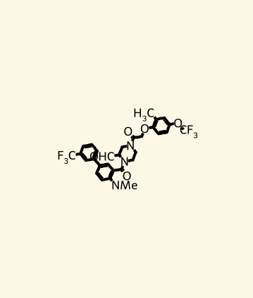 CNc1ccc(-c2cccc(C(F)(F)F)c2)cc1C(=O)N1CCN(C(=O)COc2ccc(OC(F)(F)F)cc2C)CC1C=O